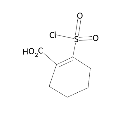 O=C(O)C1=C(S(=O)(=O)Cl)CCCC1